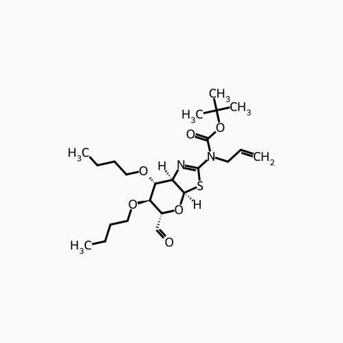 C=CCN(C(=O)OC(C)(C)C)C1=N[C@@H]2[C@@H](OCCCC)[C@H](OCCCC)[C@@H](C=O)O[C@@H]2S1